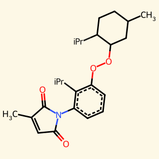 CC1=CC(=O)N(c2cccc(OOC3CC(C)CCC3C(C)C)c2C(C)C)C1=O